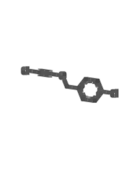 ClC#COCc1ccc(Cl)cc1